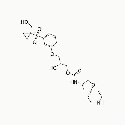 O=C(N[C@@H]1COC2(CCNCC2)C1)OCC(O)COc1cccc(S(=O)(=O)C2(CO)CC2)c1